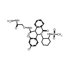 CS(=O)(=O)NC1CCCCC1N1C(=O)c2ccccc2C(C(=O)NOCC(=O)NN)C1c1ccc(Cl)cc1Cl